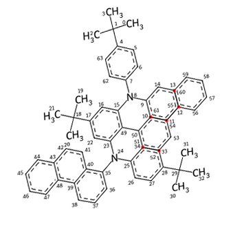 CC(C)(C)c1ccc(N(c2ccccc2)c2cc(C(C)(C)C)cc(N(c3ccc(C(C)(C)C)cc3)c3cccc4c3ccc3ccccc34)c2-c2cccc(-c3ccccc3)c2)cc1